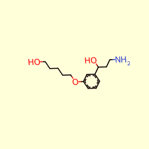 NCCC(O)c1cccc(OCCCCCO)c1